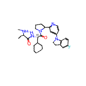 CNC(C)C(=O)N[C@H](C(=O)N1CCCC1c1cc(N2CCc3cc(F)ccc32)ccn1)C1CCCCC1